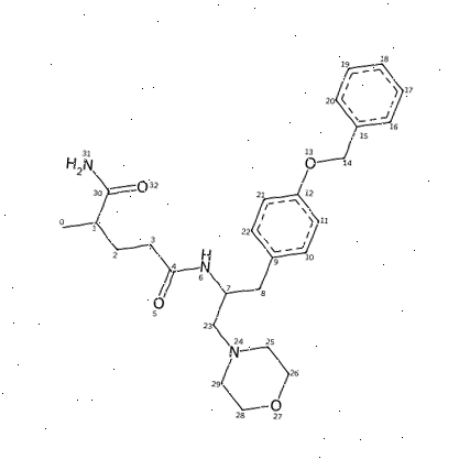 CC(C[CH]C(=O)NC(Cc1ccc(OCc2ccccc2)cc1)CN1CCOCC1)C(N)=O